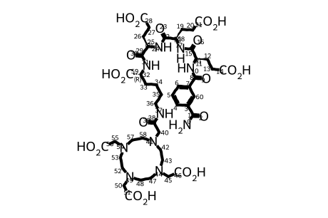 NC(=O)c1cccc(C(=O)N[C@H](CCC(=O)O)C(=O)N[C@H](CCC(=O)O)C(=O)N[C@H](CCC(=O)O)C(=O)N[C@H](CCCCNC(=O)CN2CCN(CC(=O)O)CCN(CC(=O)O)CCN(CC(=O)O)CC2)C(=O)O)c1